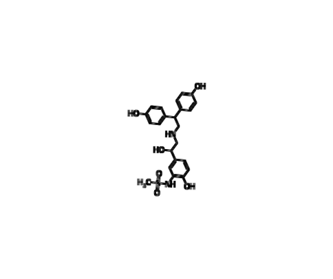 CS(=O)(=O)Nc1cc(C(O)CNCC(c2ccc(O)cc2)c2ccc(O)cc2)ccc1O